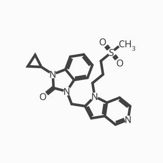 CS(=O)(=O)CCCn1c(Cn2c(=O)n(C3CC3)c3ccccc32)cc2cnccc21